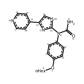 CCCCCCOc1ccc(N(C(N)=O)c2nc(-c3ccncc3)cs2)cc1